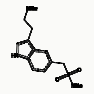 CNCCc1c[nH]c2ccc(CS(=O)(=O)NC)cc12